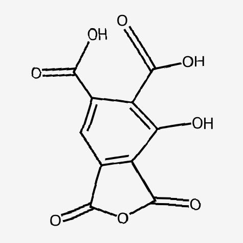 O=C(O)c1cc2c(c(O)c1C(=O)O)C(=O)OC2=O